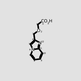 O=C(O)COCc1cn2ccccc2n1